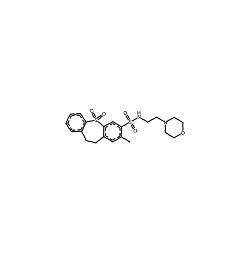 Cc1cc2c(cc1S(=O)(=O)NCCN1CCOCC1)S(=O)(=O)c1ccccc1CC2